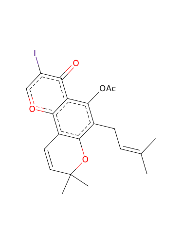 CC(=O)Oc1c(CC=C(C)C)c2c(c3occ(I)c(=O)c13)C=CC(C)(C)O2